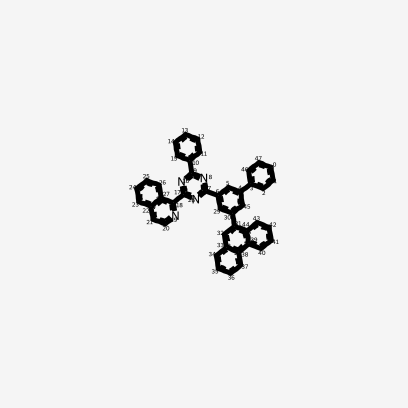 c1ccc(-c2cc(-c3nc(-c4ccccc4)nc(-c4nccc5ccccc45)n3)cc(-c3cc4ccccc4c4ccccc34)c2)cc1